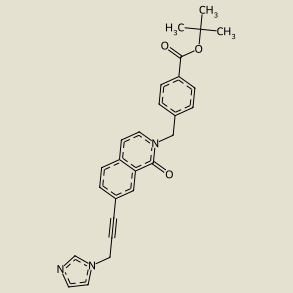 CC(C)(C)OC(=O)c1ccc(Cn2ccc3ccc(C#CCn4ccnc4)cc3c2=O)cc1